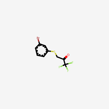 O=C(CSc1cccc(Br)c1)C(F)(F)F